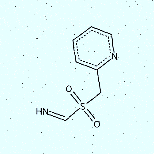 N=CS(=O)(=O)Cc1ccccn1